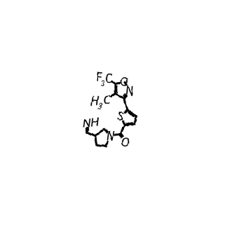 Cc1c(-c2ccc(C(=O)N3CCC(C=N)C3)s2)noc1C(F)(F)F